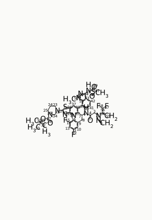 C=NN(CC(=O)N[C@@H](Cc1cc(F)cc(F)c1)c1nc2nc(N3CCCN(C(=O)OC(C)(C)C)C3)sc2cc1-c1cccc2c(NS(C)(=O)=O)nn(C)c12)C(=C)C(F)F